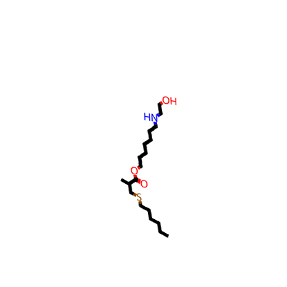 CCCCCCSCC(C)C(=O)OCCCCCCCNCCO